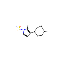 NS(=O)(=O)n1ccc(C2CCC(C(=O)O)CC2)c1C(=O)O